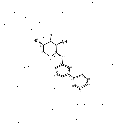 O[C@@H]1[C@@H](O)[C@@H](Oc2cncc(-c3cncnc3)c2)SC[C@H]1O